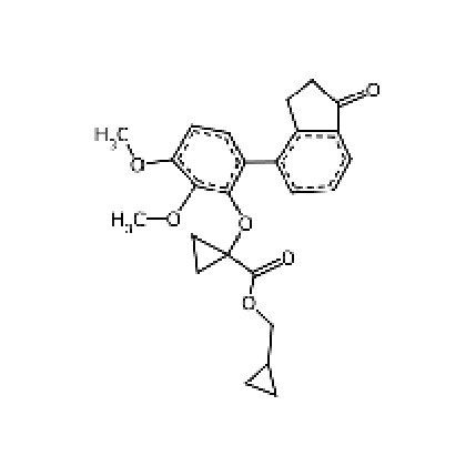 COc1ccc(-c2cccc3c2CCC3=O)c(OC2(C(=O)OCC3CC3)CC2)c1OC